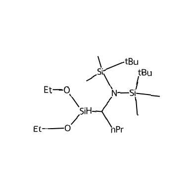 CCCC(N([Si](C)(C)C(C)(C)C)[Si](C)(C)C(C)(C)C)[SiH](OCC)OCC